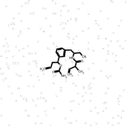 C=CCC(OC(N)=O)c1cccc(CC(CC#N)NC(=O)C(C)C=C)c1